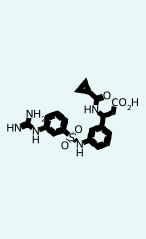 N=C(N)Nc1cccc(S(=O)(=O)Nc2cccc(C(CC(=O)O)NC(=O)C3CC3)c2)c1